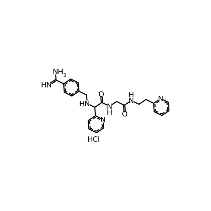 Cl.N=C(N)c1ccc(CNC(C(=O)NCC(=O)NCCc2ccccn2)c2ccccn2)cc1